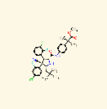 COC(=O)C(C)(C)c1ccc(NC(=O)[C@@H]2N[C@@H](CC(C)(C)C)[C@](C#N)(c3ccc(Cl)cc3F)[C@H]2c2cccc(Cl)c2F)cc1